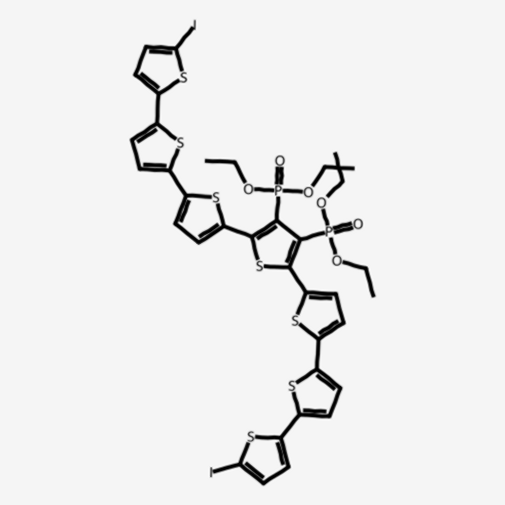 CCOP(=O)(OCC)c1c(-c2ccc(-c3ccc(-c4ccc(I)s4)s3)s2)sc(-c2ccc(-c3ccc(-c4ccc(I)s4)s3)s2)c1P(=O)(OCC)OCC